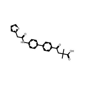 CC(C)(CC(=O)c1ccc(-c2ccc(NC(=O)Cc3cccs3)cc2)cc1)C(=O)O